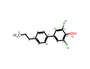 CCCc1ccc(-c2cc(F)c(O)c(F)c2)cc1